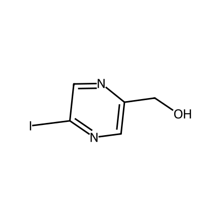 OCc1cnc(I)cn1